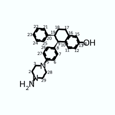 NN1CCN(c2ccc([C@@H]3c4ccc(O)cc4CC[C@@H]3c3ccccc3)cc2)CC1